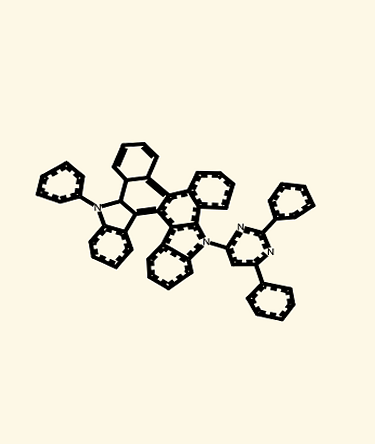 C1=CC2=c3c(c4c5ccccc5n(-c5cc(-c6ccccc6)nc(-c6ccccc6)n5)c4c4ccccc34)=C3c4ccccc4N(c4ccccc4)C3C2C=C1